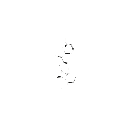 CON=C(C(=O)NC1C(=O)N2C(C(=O)O)=C(C)CS[C@@H]12)c1cccc(N)n1.Cl